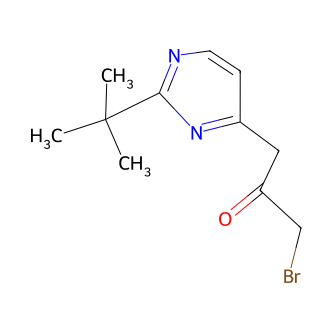 CC(C)(C)c1nccc(CC(=O)CBr)n1